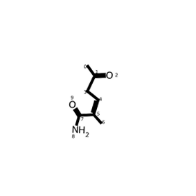 CC(=O)CC=C(C)C(N)=O